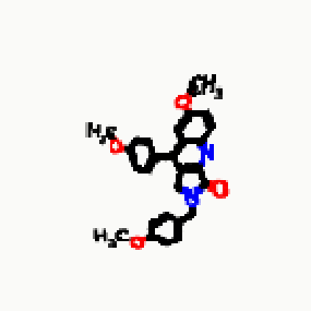 COc1ccc(CN2Cc3c(nc4ccc(OC)cc4c3-c3ccc(OC)cc3)C2=O)cc1